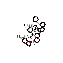 Cc1cccc(C)c1N/C(=N/c1cccc(-c2ccccc2/N=C(/Nc2c(C)cccc2C)P(c2ccccc2)c2ccccc2)c1)P(c1ccccc1)c1ccccc1